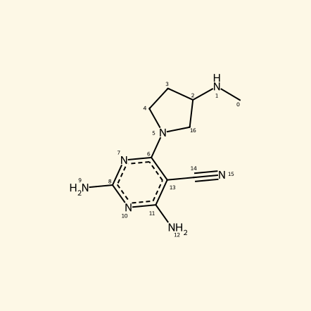 CNC1CCN(c2nc(N)nc(N)c2C#N)C1